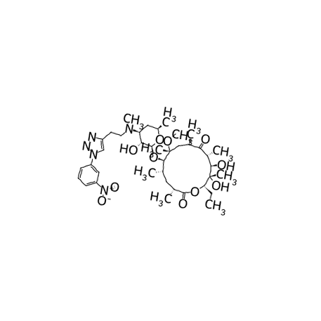 CC[C@H]1OC(=O)[C@H](C)C[C@H](C)[C@@H](O[C@@H]2O[C@H](C)C[C@H](N(C)CCc3cn(-c4cccc([N+](=O)[O-])c4)nn3)[C@H]2O)[C@](C)(OC)C[C@@H](C)C(=O)[C@H](C)[C@@H](O)[C@]1(C)O